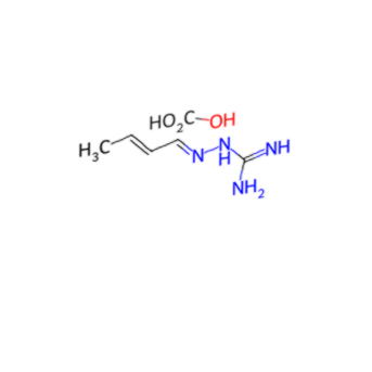 CC=CC=NNC(=N)N.O=C(O)O